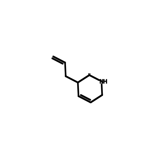 C=CCC1[C]NCC=C1